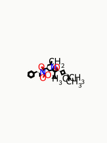 C=CC[C@@H](Cc1noc([C@H]2C[C@@H](CC(C)(C)C)C2)c1C1CC1)C(=O)N1C(=O)OC[C@@H]1Cc1ccccc1